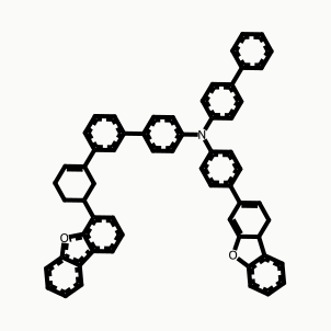 C1=C(c2ccc(N(c3ccc(-c4ccccc4)cc3)c3ccc(-c4cccc(C5=CCCC(c6cccc7c6oc6ccccc67)C5)c4)cc3)cc2)C=C2Oc3ccccc3C2C1